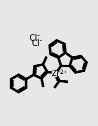 CC1=[C]([Zr+2](=[C](C)C)[CH]2c3ccccc3-c3ccccc32)C(C)C=C1c1ccccc1.[Cl-].[Cl-]